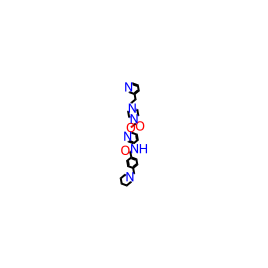 O=C(Nc1ccc(OC(=O)N2CCN(CCc3cccnc3)CC2)nc1)c1ccc(CN2CCCCC2)cc1